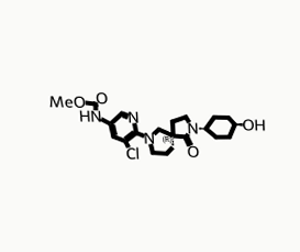 COC(=O)Nc1cnc(N2CCC[C@@]3(CCN([C@H]4CC[C@H](O)CC4)C3=O)C2)c(Cl)c1